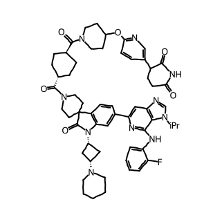 CC(C)n1cnc2cc(-c3ccc4c(c3)N([C@H]3C[C@@H](N5CCCCC5)C3)C(=O)C43CCN(C(=O)[C@H]4CC[C@H](C(=O)N5CCC(Oc6ccc(C7CCC(=O)NC7=O)cn6)CC5)CC4)CC3)nc(Nc3ccccc3F)c21